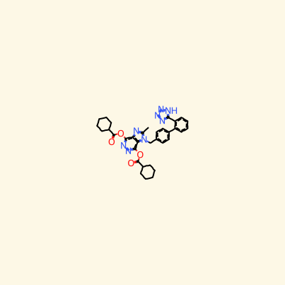 Cc1nc2c(OC(=O)C3CCCCC3)nnc(OC(=O)C3CCCCC3)c2n1Cc1ccc(-c2ccccc2-c2nnn[nH]2)cc1